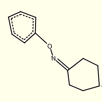 [CH]1CCC(=NOc2ccccc2)CC1